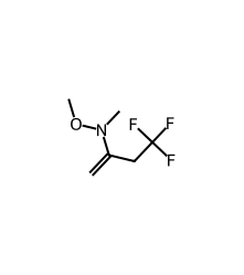 C=C(CC(F)(F)F)N(C)OC